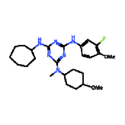 COc1ccc(Nc2nc(NC3CCCCCC3)nc(N(C)C3CCC(OC)CC3)n2)cc1F